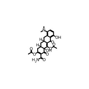 CC(=O)OC1=C(C(N)=O)C(=O)[C@@]2(O)C(OC(C)=O)=C3C(=O)c4c(O)ccc(N(C)C)c4C[C@H]3C[C@H]2C1